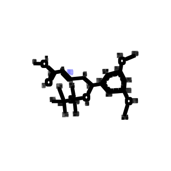 COC(=O)/C=C/CC(O[Si](C)(C)C(C)(C)C)c1cc(OC)cc(OC)c1